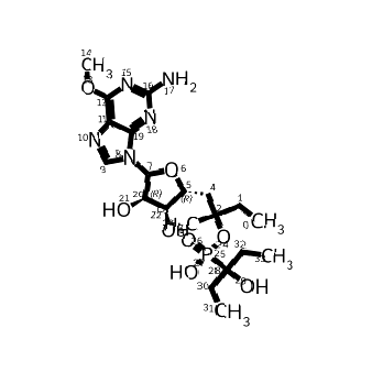 CCC(C)(C[C@H]1OC(n2cnc3c(OC)nc(N)nc32)[C@H](O)[C@@H]1O)OP(=O)(O)C(O)(CC)CC